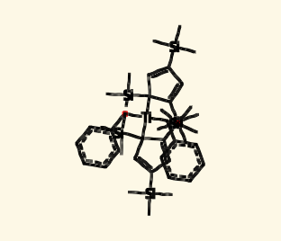 C[Si](C)(C)C1=C[C]([Si](C)(C)C)([Ti]([CH2]c2ccccc2)([CH2]c2ccccc2)[C]2([Si](C)(C)C)C=C([Si](C)(C)C)C=C2[Si](C)(C)C)C([Si](C)(C)C)=C1